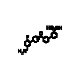 NCc1ccc(F)c(C2CCN(C(=O)c3cccc(-c4cccc(N(O)O)c4)c3)CC2)c1